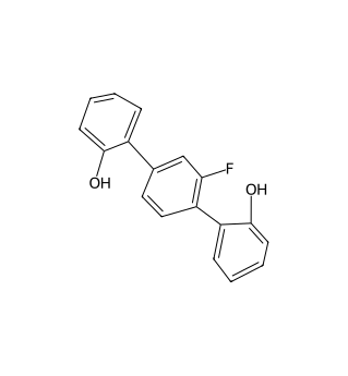 Oc1ccccc1-c1ccc(-c2ccccc2O)c(F)c1